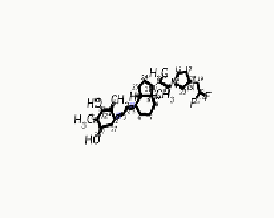 C=C1/C(=C\C=C2/CCC[C@]3(C)[C@@H](C(C)CN4CC[C@@H](CC(F)F)C4)CC[C@@H]23)C[C@@H](O)[C@H](C)[C@@H]1O